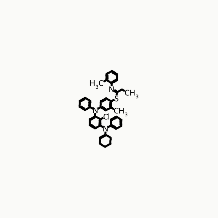 CC/C(=N\c1ccccc1C)Sc1ccc(N(c2ccccc2)c2cccc(N(C3=CCCCC3)c3ccccc3)c2Cl)cc1C